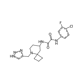 O=C(Nc1ccc(Cl)c(F)c1)C(=O)NC1CCN(Cc2c[nH]nn2)C2(CCC2)C1